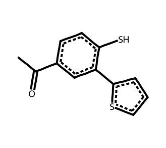 CC(=O)c1ccc(S)c(-c2cccs2)c1